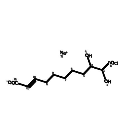 CCCCCCCCC(O)C(O)CCCCCC=CC(=O)[O-].[Na+]